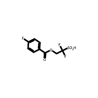 O=C(OCC(F)(F)S(=O)(=O)O)c1ccc(F)cc1